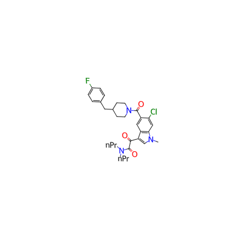 CCCN(CCC)C(=O)C(=O)c1cn(C)c2cc(Cl)c(C(=O)N3CCC(Cc4ccc(F)cc4)CC3)cc12